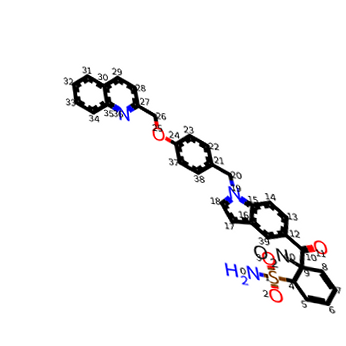 NS(=O)(=O)C1C=CC=CC1(C(=O)c1ccc2c(ccn2Cc2ccc(OCc3ccc4ccccc4n3)cc2)c1)[N+](=O)[O-]